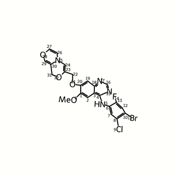 COc1cc2c(Nc3cc(Cl)c(Br)cc3F)ncnc2cc1OCC1=CN2C=COC=C2CO1